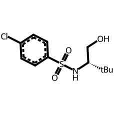 CC(C)(C)[C@@H](CO)NS(=O)(=O)c1ccc(Cl)cc1